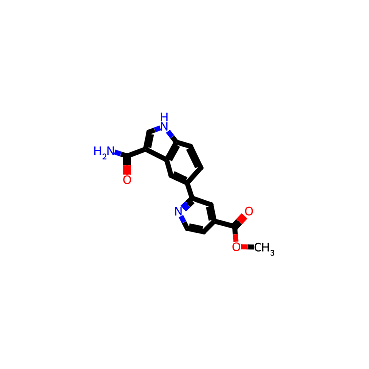 COC(=O)c1ccnc(-c2ccc3[nH]cc(C(N)=O)c3c2)c1